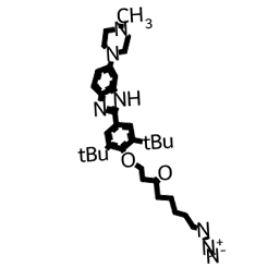 CN1CCN(c2ccc3nc(-c4cc(C(C)(C)C)c(OCCC(=O)CCCCCN=[N+]=[N-])c(C(C)(C)C)c4)[nH]c3c2)CC1